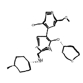 COc1cc(-c2cnc(N[C@H]3CC[C@H](C)CC3)nc2O[C@@H]2CCOC2)c(Cl)cn1